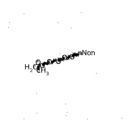 C=C(C)C(=O)OCCOCCOCCOCCOC=CCCCCCCCCC